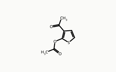 CC(=O)Oc1sccc1C(C)=O